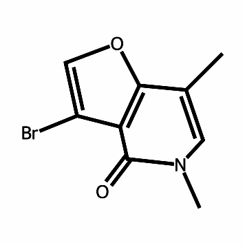 Cc1cn(C)c(=O)c2c(Br)coc12